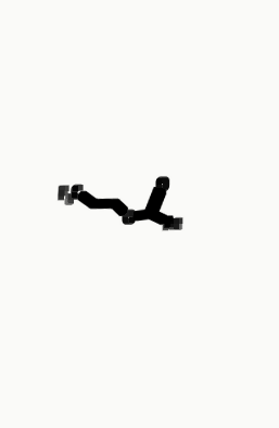 CC(=O)C(=O)OCCC(F)(F)F